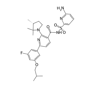 CC(C)COc1cc(F)cc(-c2ccc(C(=O)NS(=O)(=O)c3cccc(N)n3)c(N3CC[C@@H](C)C3(C)C)n2)c1